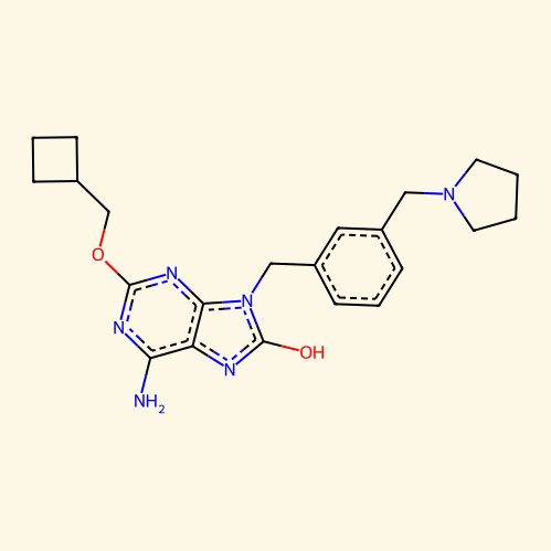 Nc1nc(OCC2CCC2)nc2c1nc(O)n2Cc1cccc(CN2CCCC2)c1